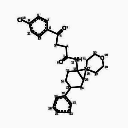 O=C(CCC(=O)c1ccc(Cl)cc1)NC12CCC(c3ccccc3)CC1[N+]21CCOCC1